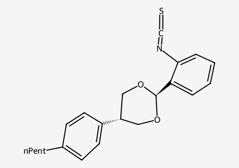 CCCCCc1ccc([C@H]2CO[C@H](c3ccccc3N=C=S)OC2)cc1